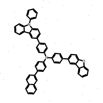 c1ccc(-n2c3ccccc3c3cc(-c4ccc(N(c5ccc(-c6ccc7ccccc7c6)cc5)c5ccc(-c6ccc7oc8ccccc8c7c6)cc5)cc4)ccc32)cc1